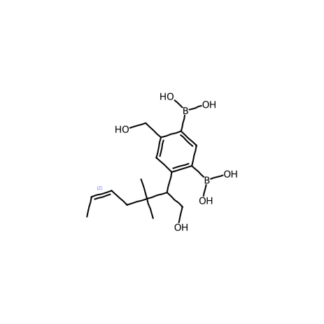 C/C=C\CC(C)(C)C(CO)c1cc(CO)c(B(O)O)cc1B(O)O